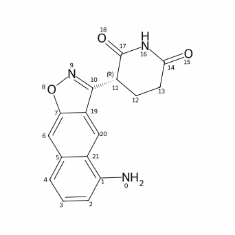 Nc1cccc2cc3onc([C@H]4CCC(=O)NC4=O)c3cc12